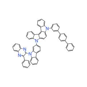 c1ccc(-c2ccc(-c3cccc(-n4c5ccccc5c5c6c7ccccc7n(-c7ccc8c9ccccc9n(-c9nc%10ccccc%10nc9-c9ccccc9)c8c7)c6ccc54)c3)cc2)cc1